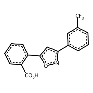 O=C(O)c1ccccc1-c1cc(-c2cccc(C(F)(F)F)c2)no1